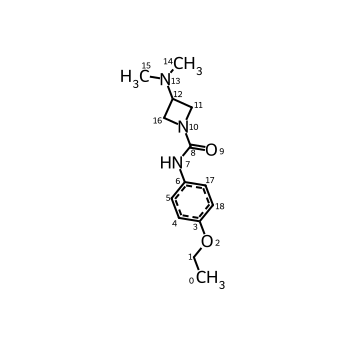 CCOc1ccc(NC(=O)N2CC(N(C)C)C2)cc1